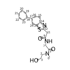 CN(CCO)C(=O)CNC(=O)Cc1nc2ccc(-c3ccccc3)cc2s1